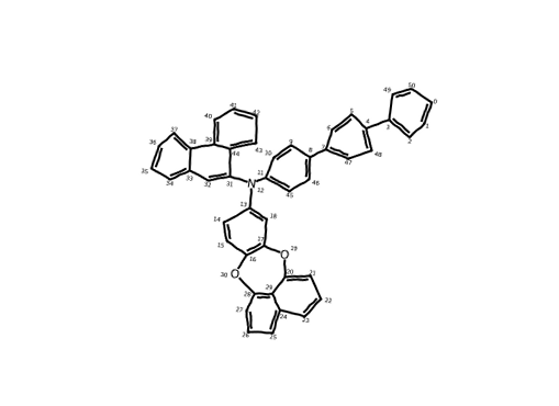 c1ccc(-c2ccc(-c3ccc(N(c4ccc5c(c4)Oc4cccc6cccc(c46)O5)c4cc5ccccc5c5ccccc45)cc3)cc2)cc1